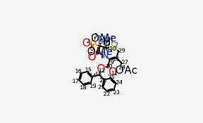 COP(=O)(OC)[C@]1(N)C(=O)N2C(C(=O)OC(c3ccccc3)c3ccccc3)=C(COC(C)=O)CS[C@@H]21